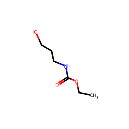 CCOC(=O)NCCCO